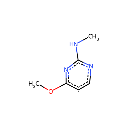 CNc1nc[c]c(OC)n1